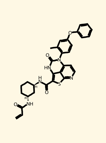 C=CC(=O)N[C@@H]1CCC[C@@H](NC(=O)c2sc3nccc4c3c2NC(=O)N4c2ccc(Oc3ccccc3)cc2C)C1